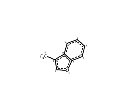 FC(F)(F)c1[c]oc2ccccc12